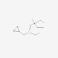 CCN(CC(C)(CC)CC)[C@H](C)C1CC1